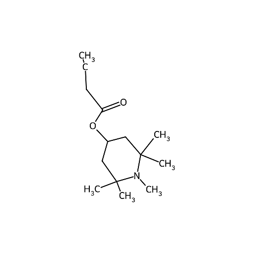 CCCC(=O)OC1CC(C)(C)N(C)C(C)(C)C1